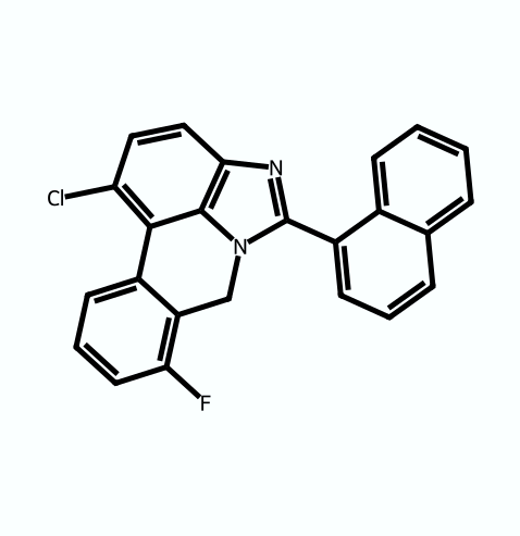 Fc1cccc2c1Cn1c(-c3cccc4ccccc34)nc3ccc(Cl)c-2c31